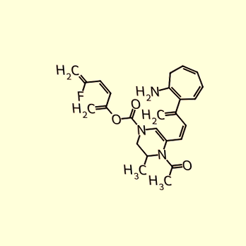 C=C(F)/C=C\C(=C)OC(=O)N1C=C(/C=C\C(=C)C2=C(N)CC=CC=C2)N(C(C)=O)C(C)C1